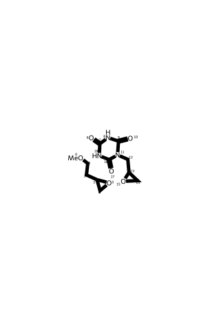 COCCC1CO1.O=c1[nH]c(=O)n(CC2CO2)c(=O)[nH]1